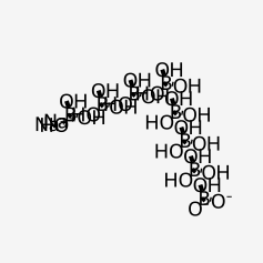 OB(O)O.OB(O)O.OB(O)O.OB(O)O.OB(O)O.OB(O)O.OB(O)O.[Na+].[Na+].[O-]B([O-])O